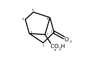 O=C1CC2CCC1C2C(=O)O